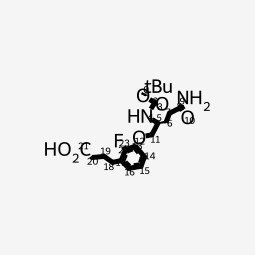 CC(C)(C)OC(=O)N[C@@H](CCC(N)=O)COc1cccc(CCCC(=O)O)c1F